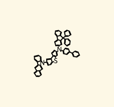 c1ccc(-c2ccc(N(c3ccc4c(c3)C(c3ccccc3)(c3ccccc3)c3ccccc3-4)c3ccc4c(c3)sc3ccc(-n5c6ccccc6c6cc7ccccc7cc65)cc34)cc2)cc1